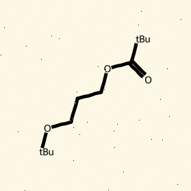 CC(C)(C)OCCCOC(=O)C(C)(C)C